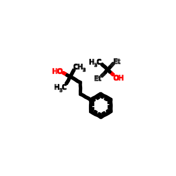 CC(C)(O)CCc1ccccc1.CCC(C)(O)CC